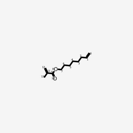 C=CCCCCCCOC(=O)C(=C)C